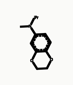 CC(C)N(C)c1ccc2c(c1)OCCO2